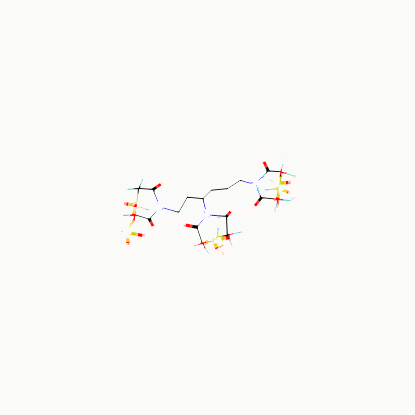 O=C(N(CCCC(CCN(C(=O)C(F)(F)S(=O)(=O)F)C(=O)C(F)(F)S(=O)(=O)F)N(C(=O)C(F)(F)S(=O)(=O)F)C(=O)C(F)(F)S(=O)(=O)F)C(=O)C(F)(F)S(=O)(=O)F)C(F)(F)S(=O)(=O)F